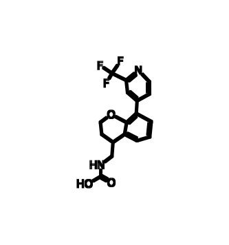 O=C(O)NCC1CCOc2c(-c3ccnc(C(F)(F)F)c3)cccc21